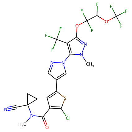 CN(C(=O)c1cc(-c2cnn(-c3c(C(F)(F)F)c(OC(F)(F)C(F)OC(F)(F)F)nn3C)c2)sc1Cl)C1(C#N)CC1